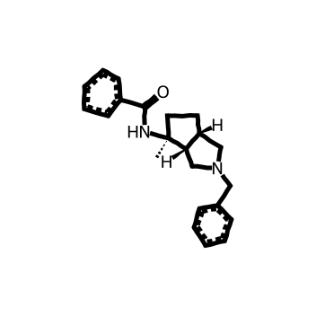 C[C@]1(NC(=O)c2ccccc2)CC[C@@H]2CN(Cc3ccccc3)C[C@@H]21